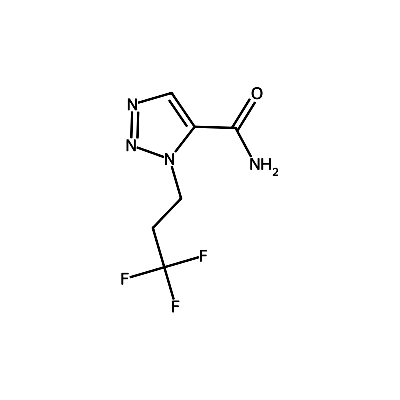 NC(=O)c1cnnn1CCC(F)(F)F